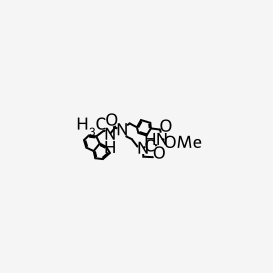 CONC(=O)c1ccc(CN(CCCN2CCOCC2)C(=O)NC(C)c2cccc3ccccc23)cc1